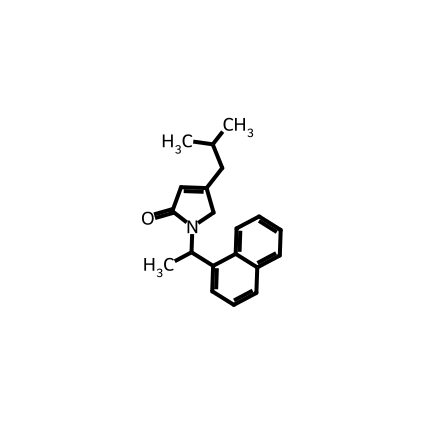 CC(C)CC1=CC(=O)N(C(C)c2cccc3ccccc23)C1